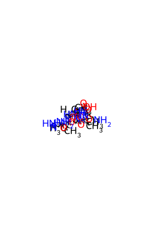 CC(C)C[C@H](NC(=O)[C@@H]1CCCN1C(=O)[C@H](CC(C)C)NC(=O)[C@@H]1CCCN1C(=O)[C@H](CC(C)C)NC(=O)[C@@H](N)Cc1c[nH]cn1)C(=O)N[C@@H](CCCCN)C(=O)N[C@@H](Cc1ccccc1)C(=O)O